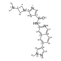 CN(C)C1CN(c2ncc(C(=O)Nc3cc4cc(-c5cnn(C)c5)ccc4cn3)s2)C1